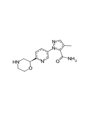 Cc1cnn(-c2ccc([C@@H]3CNCCO3)nc2)c1C(N)=O